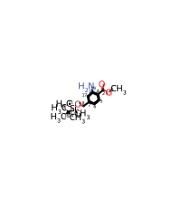 COC(=O)c1ccc(CO[Si](C)(C)C(C)(C)C)cc1N